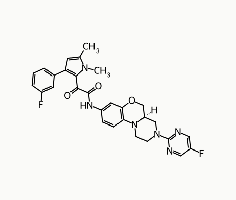 Cc1cc(-c2cccc(F)c2)c(C(=O)C(=O)Nc2ccc3c(c2)OC[C@H]2CN(c4ncc(F)cn4)CCN32)n1C